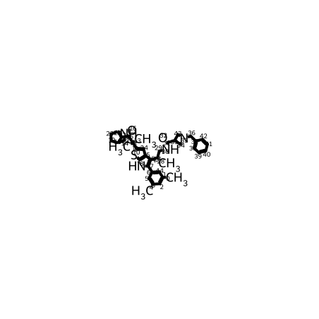 Cc1cc(C)cc(-c2[nH]c3sc(C(C)(C)C(=O)C4C5CCC4NC5)cc3c2[C@H](C)CNC(=O)C2CN(Cc3ccccc3)C2)c1